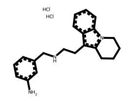 Cl.Cl.Nc1cccc(CNCCc2c3n(c4ccccc24)CCCC3)c1